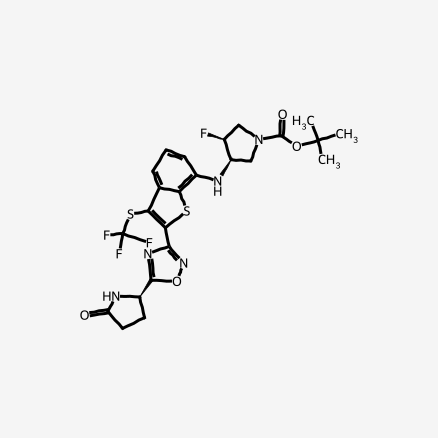 CC(C)(C)OC(=O)N1C[C@H](F)[C@H](Nc2cccc3c(SC(F)(F)F)c(-c4noc([C@H]5CCC(=O)N5)n4)sc23)C1